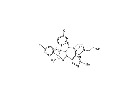 CCOc1nc(C(C)(C)C)ncc1C1=N[C@@](C)(c2ccc(Cl)cc2)[C@@](C)(c2ccc(Cl)cc2)N1C(=O)N1CCN(CCO)CC1